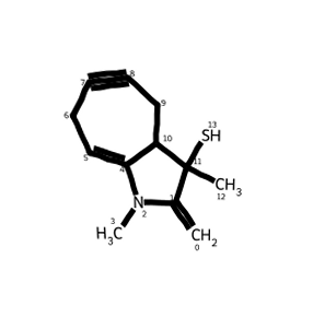 C=C1N(C)C2=CCC#CCC2C1(C)S